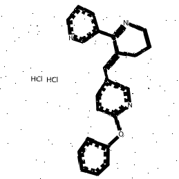 C(=C1/CCCN=C1c1cccnc1)/c1ccc(Oc2ccccc2)nc1.Cl.Cl